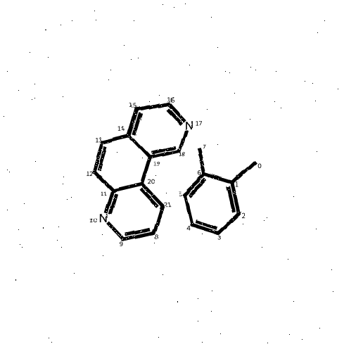 Cc1ccccc1C.c1cnc2ccc3ccncc3c2c1